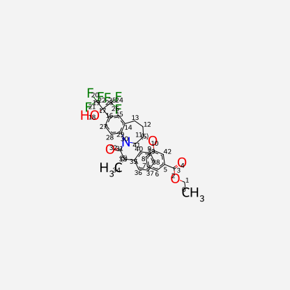 CCOC(=O)c1cccc(O[C@H]2CCc3cc(C(O)(C(F)(F)F)C(F)(F)F)ccc3N(C(=O)[C@@H](C)c3ccccc3)C2)c1